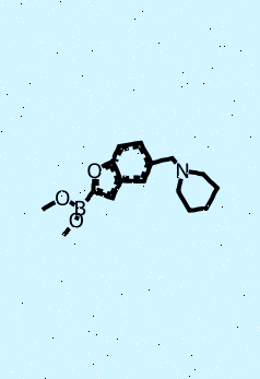 COB(OC)c1cc2cc(CN3CCCCC3)ccc2o1